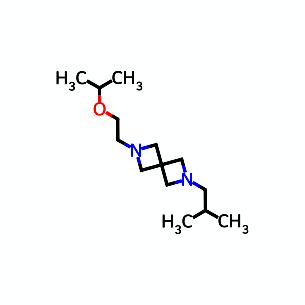 CC(C)CN1CC2(CN(CCOC(C)C)C2)C1